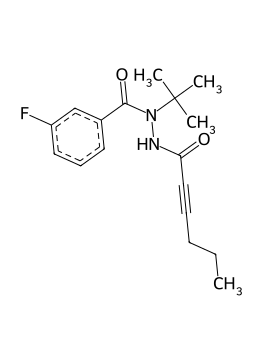 CCCC#CC(=O)NN(C(=O)c1cccc(F)c1)C(C)(C)C